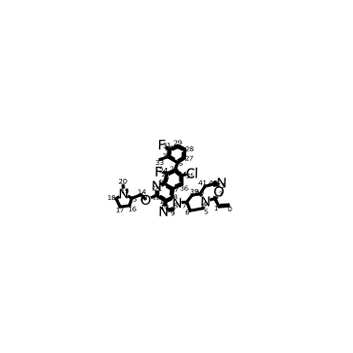 C=CC(=O)N1CCC(n2cnc3c(OCC4CCCN4C)nc4c(F)c(-c5cccc(F)c5C)c(Cl)cc4c32)CC1CC#N